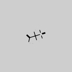 COC(=O)C(OC)(OC)P(=O)(O)O